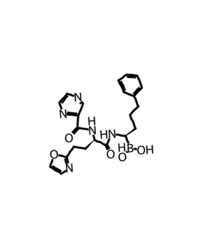 O=C(N[C@H](CCc1ncco1)C(=O)N[C@@H](CCCc1ccccc1)B(O)O)c1cnccn1